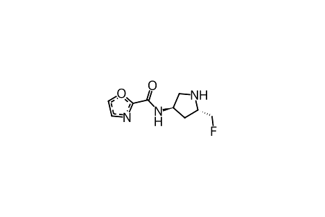 O=C(N[C@H]1CN[C@H](CF)C1)c1ncco1